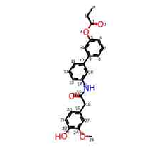 CCC(=O)Oc1cccc(-c2cccc(NC(=O)Cc3ccc(O)c(OC)c3)c2)c1